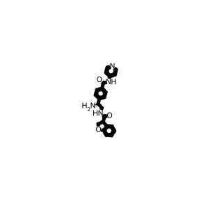 N[C@@H](CNC(=O)C1COc2ccccc21)c1ccc(C(=O)Nc2ccncc2)cc1